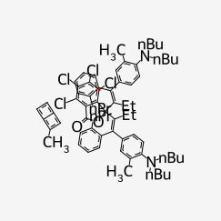 CCCCN(CCCC)c1ccc(C(=C(CC)C2(C(CC)=C(c3ccc(N(CCCC)CCCC)c(C)c3)c3ccccc3CCC)OC(=O)c3c(Cl)c(Cl)c(Cl)c(Cl)c32)c2ccccc2CCC)cc1C.Cc1cc2ccc1-2